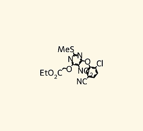 CCOC(=O)COc1nc(SC)nc(Oc2cc(C#N)ccc2Cl)c1[N+](=O)[O-]